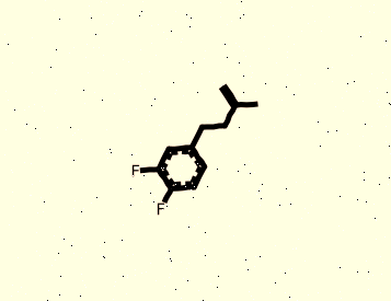 C=C(C)CCc1ccc(F)c(F)c1